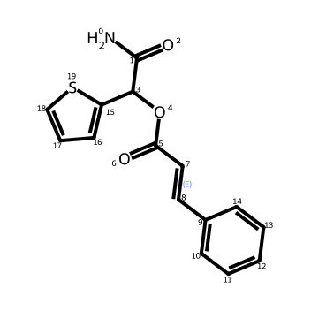 NC(=O)C(OC(=O)/C=C/c1ccccc1)c1cccs1